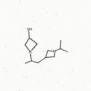 CC(C)N1CC(CC(C)N2CC(O)C2)C1